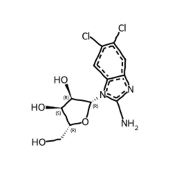 Nc1nc2cc(Cl)c(Cl)cc2n1[C@@H]1O[C@H](CO)[C@@H](O)[C@H]1O